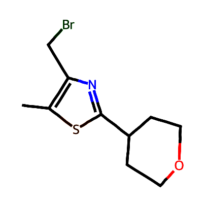 Cc1sc(C2CCOCC2)nc1CBr